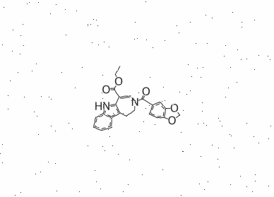 CCOC(=O)C1=CN(C(=O)c2ccc3c(c2)OCO3)CCc2c1[nH]c1ccccc21